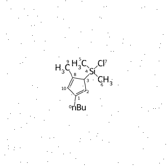 CCCCC1=CC([Si](C)(C)Cl)C(C)=C1